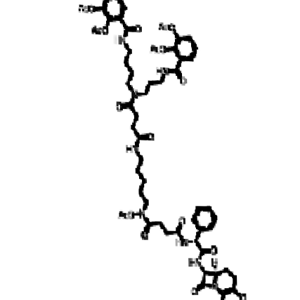 CC(=O)Oc1cccc(C(=O)NCCCCN(CCCNC(=O)c2cccc(OC(C)=O)c2OC(C)=O)C(=O)CCC(=O)NCCCCCN(OC(C)=O)C(=O)CCC(=O)N[C@@H](C(=O)N[C@@H]2C(=O)N3C(C(=O)O)=C(Cl)CC[C@H]23)c2ccccc2)c1OC(C)=O